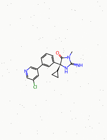 CN1C(=N)N[C@@](c2cccc(-c3cncc(Cl)c3)c2)(C2CC2)C1=O